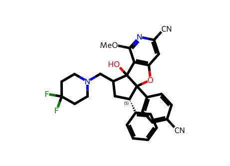 COc1nc(C#N)cc2c1C1(O)C(CN3CCC(F)(F)CC3)C[C@@H](c3ccccc3)C1(c1ccc(C#N)cc1)O2